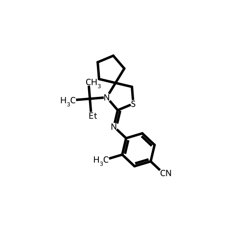 CCC(C)(C)N1C(=Nc2ccc(C#N)cc2C)SCC12CCCC2